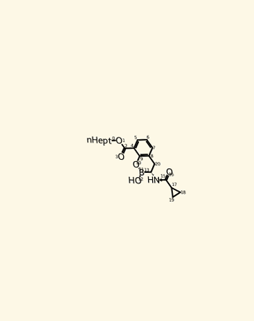 CCCCCCCOC(=O)c1cccc2c1OB(O)[C@@H](NC(=O)C1CC1)C2